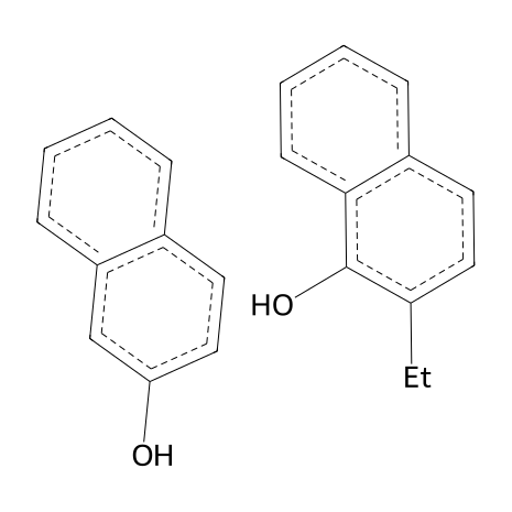 CCc1ccc2ccccc2c1O.Oc1ccc2ccccc2c1